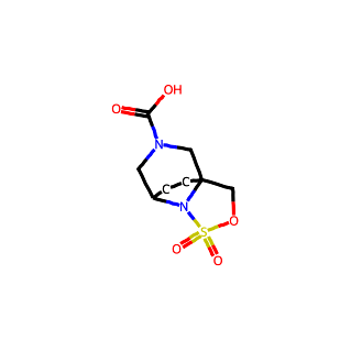 O=C(O)N1CC2CCC3(COS(=O)(=O)N23)C1